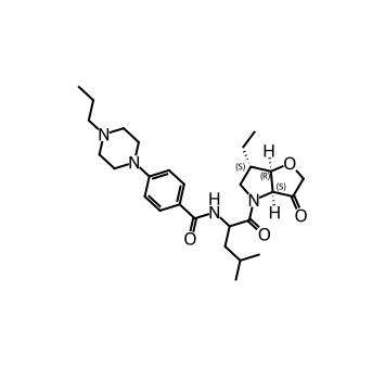 CCCN1CCN(c2ccc(C(=O)NC(CC(C)C)C(=O)N3C[C@H](CC)[C@H]4OCC(=O)[C@H]43)cc2)CC1